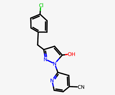 N#Cc1ccnc(-n2nc(Cc3ccc(Cl)cc3)cc2O)c1